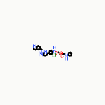 O=C(CNc1ccccc1)OCCONc1ccc(-c2ccc3nnn(Cc4ccc5ncccc5c4)c3n2)cc1Cl